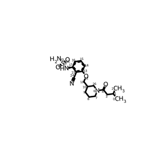 CC(C)CC(=O)N1CCCC(COc2cccc(NS(N)(=O)=O)c2C#N)C1